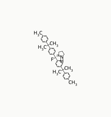 Cc1ccc(C(C)(C)c2ccc(C(F)(c3ccc(C(C)(C)c4ccc(C)cc4)cc3)[C@@H]3CCCN3)cc2)cc1